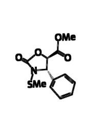 COC(=O)[C@@H]1OC(=O)N(SC)[C@H]1c1ccccc1